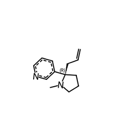 C=CC[C@@]1(c2cccnc2)CCCN1C